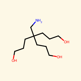 NCC(CCCO)(CCCO)CCCO